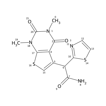 Cn1c(=O)c2c(C(C(N)=O)c3nccs3)csc2n(C)c1=O